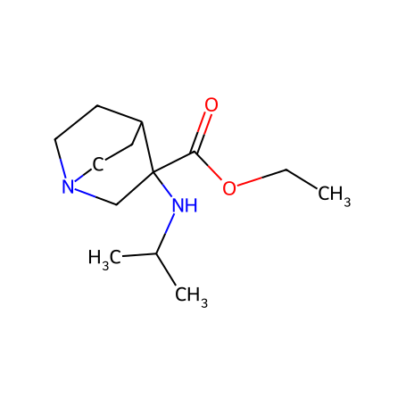 CCOC(=O)C1(NC(C)C)CN2CCC1CC2